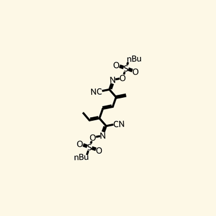 C=C(/C=C/C(=C\C)C(/C#N)=N\OS(=O)(=O)CCCC)/C(C#N)=N\OS(=O)(=O)CCCC